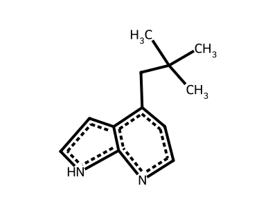 CC(C)(C)Cc1ccnc2[nH]ccc12